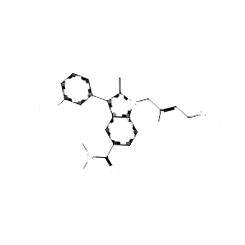 Cc1c(-c2cccc(C(F)(F)F)c2)c2cc(C(=O)N(C)C)ccc2n1CC(F)=CCN